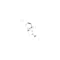 CC1=C[C@@H]2CN(C1)C(=O)N2OC(F)C(=O)O